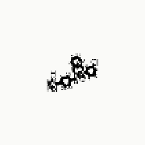 O=S(=O)(c1cccc(Cl)c1)N(Cc1ccc(-c2nnn[nH]2)cc1)Cc1ccccn1